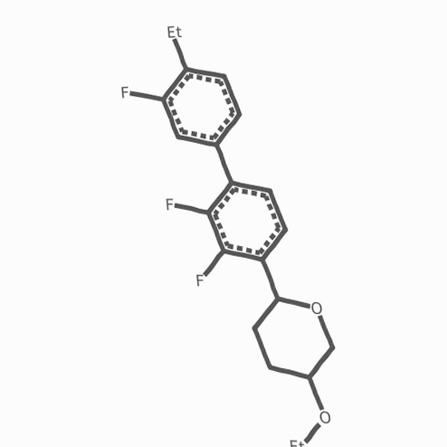 CCOC1CCC(c2ccc(-c3ccc(CC)c(F)c3)c(F)c2F)OC1